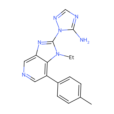 CCn1c(-n2ncnc2N)nc2cncc(-c3ccc(C)cc3)c21